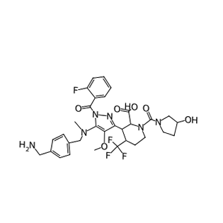 COc1c(C2C(C(=O)O)N(C(=O)N3CCC(O)C3)CCC2C(F)(F)F)nn(C(=O)c2ccccc2F)c1N(C)Cc1ccc(CN)cc1